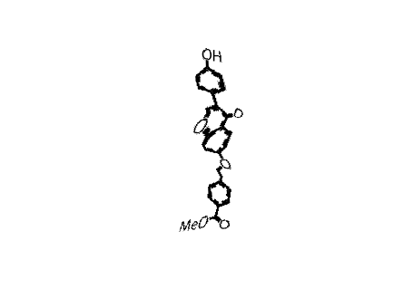 COC(=O)c1ccc(COc2ccc3c(=O)c(-c4ccc(O)cc4)coc3c2)cc1